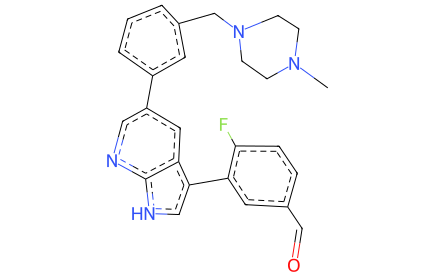 CN1CCN(Cc2cccc(-c3cnc4[nH]cc(-c5cc(C=O)ccc5F)c4c3)c2)CC1